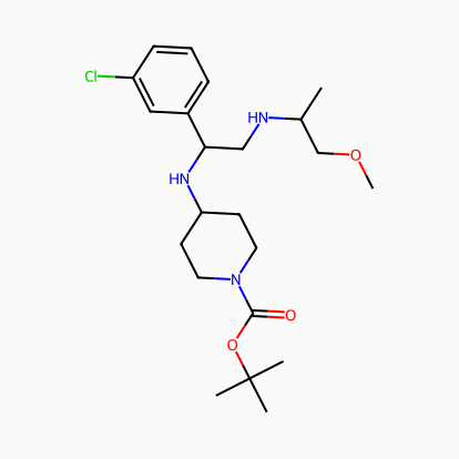 COCC(C)NCC(NC1CCN(C(=O)OC(C)(C)C)CC1)c1cccc(Cl)c1